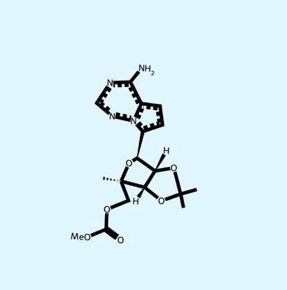 COC(=O)OC[C@@]1(C)O[C@@H](c2ccc3c(N)ncnn23)[C@@H]2OC(C)(C)O[C@@H]21